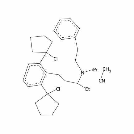 CC#N.CCC(CCc1c(C2(Cl)CCCC2)cccc1C1(Cl)CCCC1)N(CCc1ccccc1)C(C)C